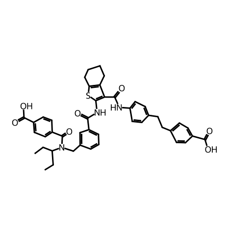 CCC(CC)N(Cc1cccc(C(=O)Nc2sc3c(c2C(=O)Nc2ccc(CCc4ccc(C(=O)O)cc4)cc2)CCCC3)c1)C(=O)c1ccc(C(=O)O)cc1